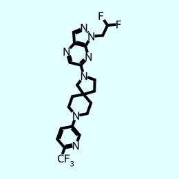 FC(F)Cn1ncc2ncc(N3CCC4(CCN(c5ccc(C(F)(F)F)nc5)CC4)C3)nc21